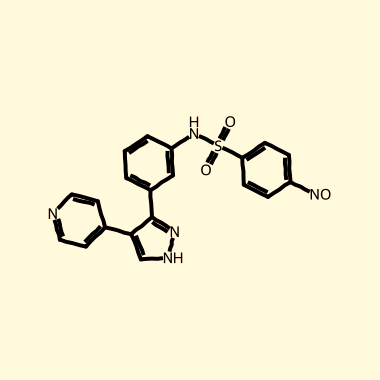 O=Nc1ccc(S(=O)(=O)Nc2cccc(-c3n[nH]cc3-c3ccncc3)c2)cc1